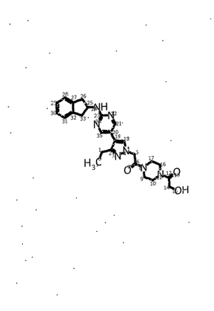 CCc1nn(CC(=O)N2CCN(C(=O)CO)CC2)cc1-c1cnc(NC2Cc3ccccc3C2)nc1